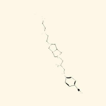 COCCOCCN1CC2CN(C[C@@H](N)COc3ccc(C#N)cc3)CC2C1